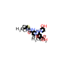 CC(C)(C)C(=Cc1c(N2CCC[C@H](O)C2)nc2cc(C(=O)Nc3nc(C(C)(C)C)cs3)ccn2c1=O)C(=O)O